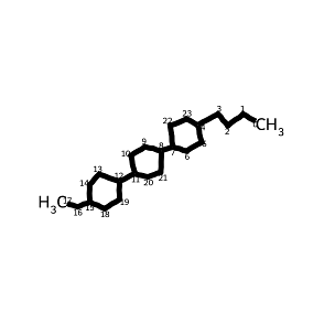 CCCCC1CCC(C2CCC(C3CCC(CC)CC3)CC2)CC1